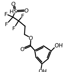 O=C(OCCC(F)(F)C(F)(F)[SH](=O)=O)c1cc(O)cc(O)c1